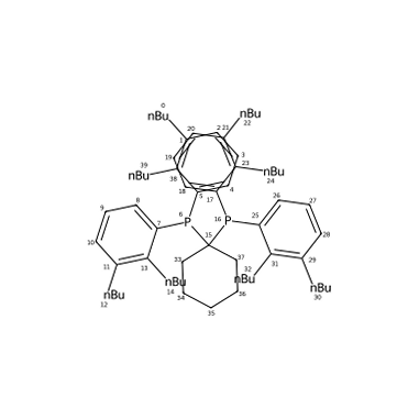 CCCCc1cccc(P(c2cccc(CCCC)c2CCCC)C2(P(c3cccc(CCCC)c3CCCC)c3cccc(CCCC)c3CCCC)CCCCC2)c1CCCC